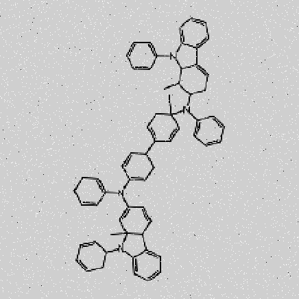 CC1C2C(=CCC1N(c1ccccc1)C1(I)C=CC(C3C=CC(N(C4=CCCC=C4)C4=CC5(C)C(C=C4)c4ccccc4N5C4C=CC=CC4)=CC3)=CC1)c1ccccc1N2c1ccccc1